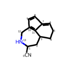 N#CC1CC2CCC=C3C=CC(=C32)CN1